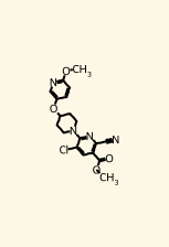 COC(=O)c1cc(Cl)c(N2CCC(Oc3ccc(OC)nc3)CC2)nc1C#N